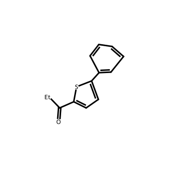 CCC(=O)c1ccc(-c2ccccc2)s1